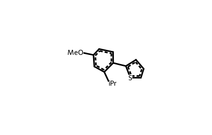 COc1ccc(-c2cccs2)c(C(C)C)c1